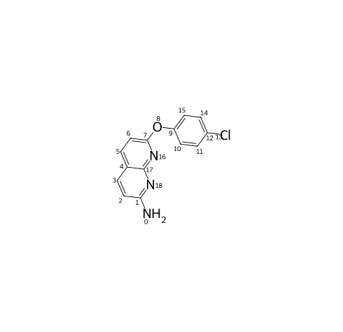 Nc1ccc2ccc(Oc3ccc(Cl)cc3)nc2n1